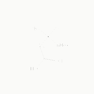 CCCCCCC(C)(CCCC)[C@@H](C)C(O)O